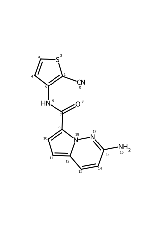 N#Cc1sccc1NC(=O)c1ccc2ccc(N)nn12